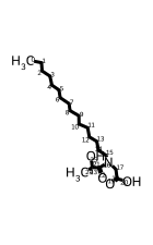 CCCCCCCCCCCCCCCCN(CC(=O)O)C(=O)C(C)O